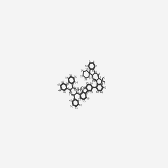 CC1(C)C2=CC3c4ccccc4C4(CCCCC4)C3C=C2c2c(-c3ccc4oc5c(C6NC(c7ccccc7)C(c7ccccc7)=NC6c6ccccc6)cccc5c4c3)cccc21